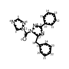 O=C(n1cncn1)n1nc(-c2ccccc2)nc1Cc1ccccc1